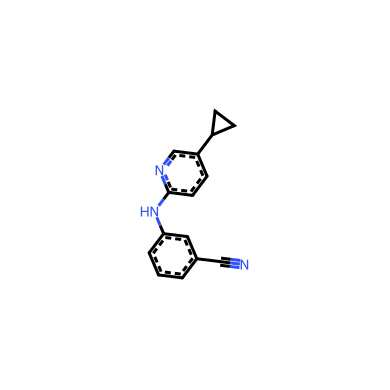 N#Cc1cccc(Nc2ccc(C3CC3)cn2)c1